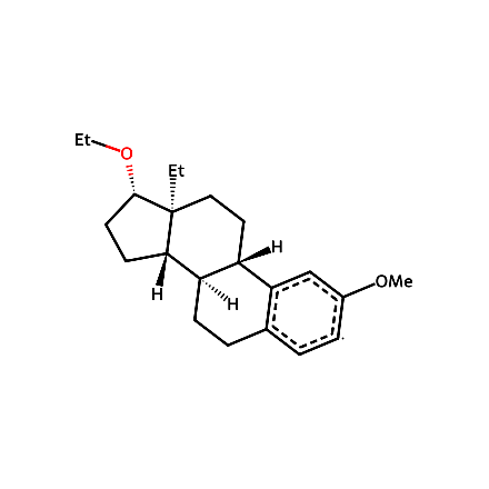 CCO[C@H]1CC[C@H]2[C@@H]3CCc4c[c]c(OC)cc4[C@H]3CC[C@]12CC